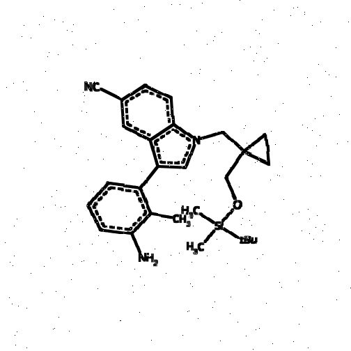 Cc1c(N)cccc1-c1cn(CC2(CO[Si](C)(C)C(C)(C)C)CC2)c2ccc(C#N)cc12